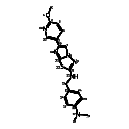 COc1ccc(-c2cn3nc(NCc4ccc(N(C)C)cc4)sc3n2)cn1